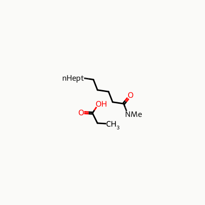 CCC(=O)O.CCCCCCCCCCCC(=O)NC